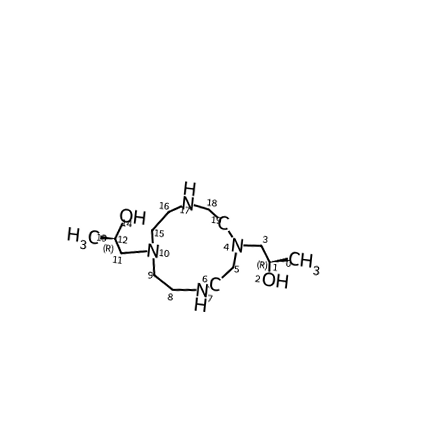 C[C@@H](O)CN1CCNCCN(C[C@@H](C)O)CCNCC1